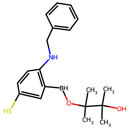 CC(C)(O)C(C)(C)OBc1cc(S)ccc1NCc1ccccc1